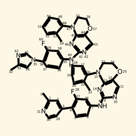 Cc1cc(-c2ccc(Nc3ncc4c(n3)N(c3ccccc3C)CCO4)cc2F)ccn1.Cc1cn(-c2ccc(Nc3ncc4c(n3)N(c3ccccc3C)CCO4)cc2F)cn1